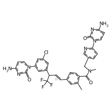 Cc1cc(/C=C/C(c2cc(Cl)cc(-n3ccc(N)nc3=O)c2)C(F)(F)F)ccc1C(=O)N(C)Cc1ccc(-n2ccc(N)nc2=O)nc1